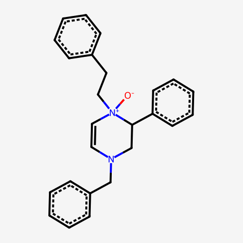 [O-][N+]1(CCc2ccccc2)C=CN(Cc2ccccc2)CC1c1ccccc1